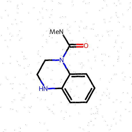 CNC(=O)N1CCNc2ccccc21